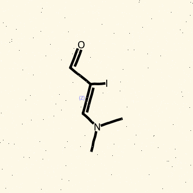 CN(C)/C=C(\I)C=O